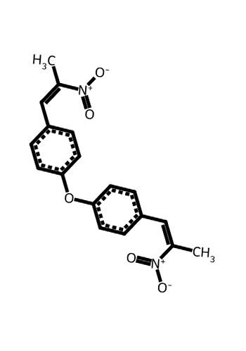 CC(=Cc1ccc(Oc2ccc(C=C(C)[N+](=O)[O-])cc2)cc1)[N+](=O)[O-]